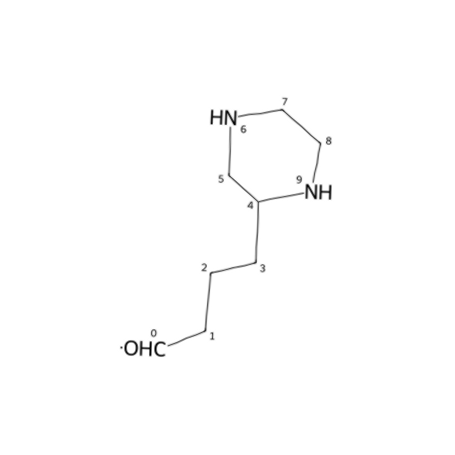 O=[C]CCCC1CNCCN1